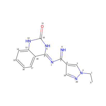 CCn1cc(C(=N)/N=c2\[nH]c(=O)[nH]c3ccccc23)cn1